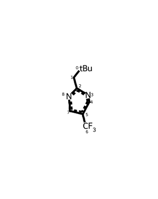 CC(C)(C)Cc1ncc(C(F)(F)F)cn1